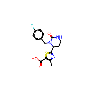 Cc1nc(C2CCNC(=O)N2Cc2ccc(F)cc2)sc1C(=O)O